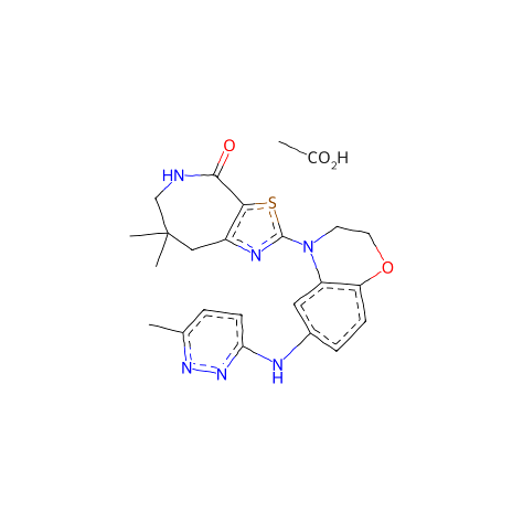 CC(=O)O.Cc1ccc(Nc2ccc3c(c2)N(c2nc4c(s2)C(=O)NCC(C)(C)C4)CCO3)nn1